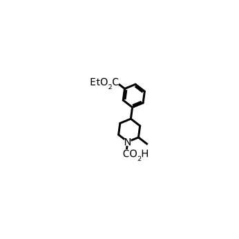 CCOC(=O)c1cccc(C2CCN(C(=O)O)C(C)C2)c1